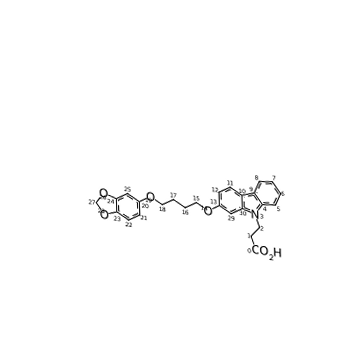 O=C(O)CCn1c2ccccc2c2ccc(OCCCCOc3ccc4c(c3)OCO4)cc21